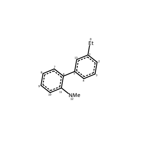 CCc1cccc(-c2ccccc2NC)c1